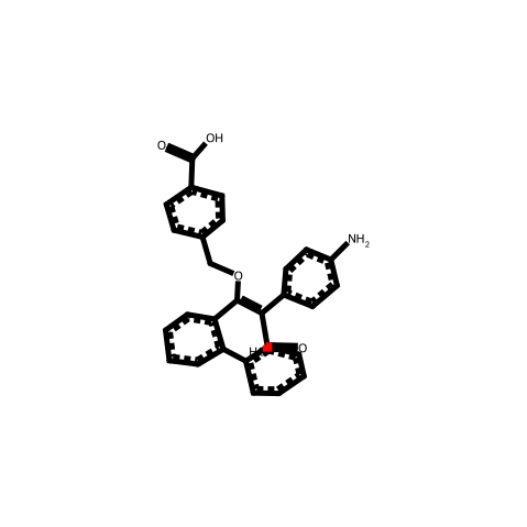 Nc1ccc(C(C(=O)O)=C(OCc2ccc(C(=O)O)cc2)c2ccccc2-c2ccccc2)cc1